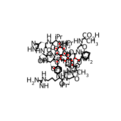 CC(C)C[C@H](NC(=O)[C@H](Cc1ccccc1)NC(=O)[C@H](CC(N)=O)NC(=O)[C@H](C)NC(=O)[C@H](CC(C)C)NC(=O)[C@@H](N)CCCNC(=N)N)C(=O)N[C@H](C(=O)N[C@@H](Cc1c[nH]cn1)C(=O)N[C@@H](CO)C(=O)N[C@@H](CO)C(=O)N[C@@H](CC(N)=O)C(=O)N[C@@H](CC(N)=O)C(=O)N[C@@H](Cc1ccccc1)C(=O)NCC(=O)N[C@@H](C)C(=O)O)C(C)C